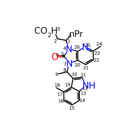 CCCC(CC(=O)O)n1c(=O)n(C(C)c2c[nH]c3cccc(C)c23)c2ccc(C)nc21